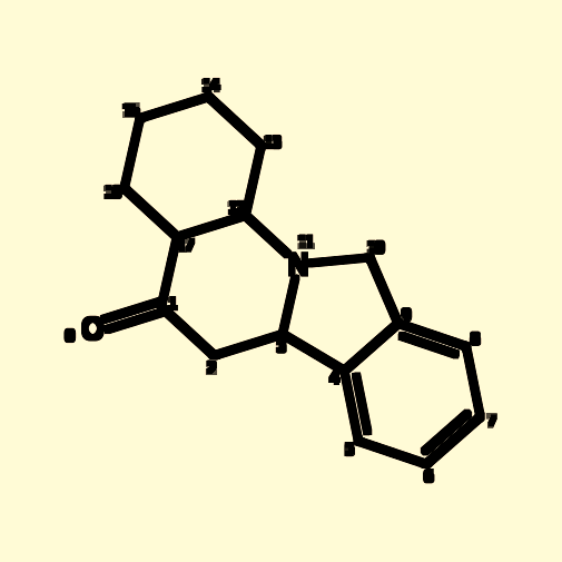 O=C1CC2c3ccccc3CN2C2CCCCC12